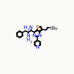 CC(C)(C)/C=C/c1csc2c(C(N)C(N)Cc3ccccc3)nc(-c3ccncc3)nc12